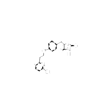 CCc1cccc(CCOc2ccc(CC3SC(=O)NC3=O)cc2)n1